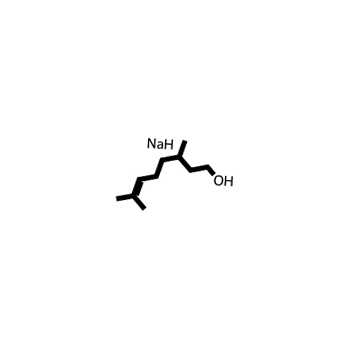 CC(C)=CCCC(C)CCO.[NaH]